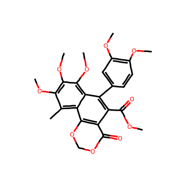 COC(=O)c1c2c(c3c(C)c(OC)c(OC)c(OC)c3c1-c1ccc(OC)c(OC)c1)OCOC2=O